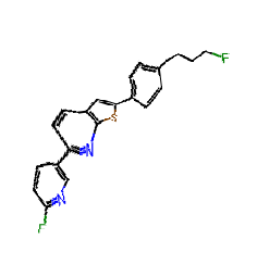 FCCCc1ccc(-c2cc3ccc(-c4ccc(F)nc4)nc3s2)cc1